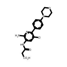 Nc1nc(-c2ccc(N3CCOCC3)cc2)c(Cl)cc1NC(=O)CC(=O)O